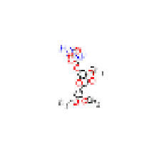 COc1ccc(-c2cc(=O)c3c(OC)cc(OCC(=O)NS(N)(=O)=O)cc3o2)cc1OC